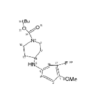 COc1ccc(NC2CCN(C(=O)OC(C)(C)C)CC2)cc1F